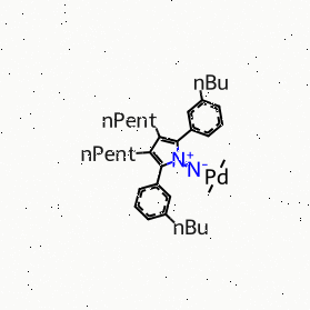 CCCCCC1=C(c2cccc(CCCC)c2)[N+](=[N-])C(c2cccc(CCCC)c2)=C1CCCCC.[CH3][Pd][CH3]